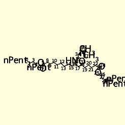 CCCCCC(CCCCC)CCOC(=O)CCCCCCCCC(CCCCCCC(=O)OCCC(CCCCC)CCCCC)NC(=O)CN(C)C